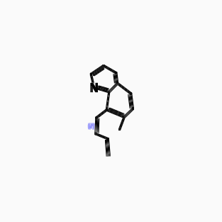 C=C/C=C\c1c(C)ccc2cccnc12